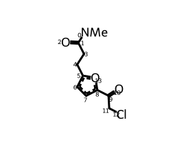 CNC(=O)CCc1ccc(C(=O)CCl)o1